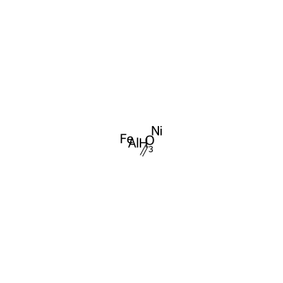 C=O.[AlH3].[Fe].[Ni]